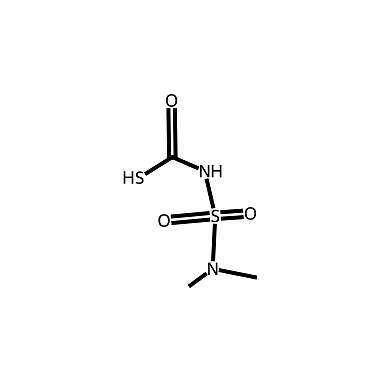 CN(C)S(=O)(=O)NC(=O)S